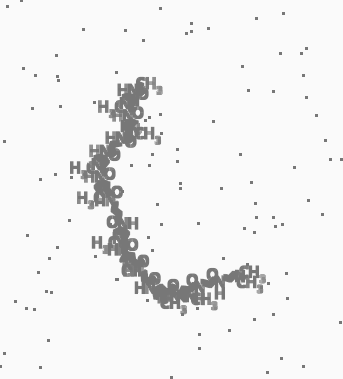 CC(=O)Nc1cn(C)c(C(=O)Nc2cn(C)c(C(=O)NCCC(=O)Nc3cc(C(=O)Nc4cc(C(=O)NCCCC(=O)Nc5cc(C(=O)Nc6cc(C(=O)NCCC(=O)Nc7cc(C(=O)Nc8cc(C(=O)NCCC(=O)NCCCN(C)C)n(C)c8)n(C)c7)n(C)c6)n(C)c5)n(C)c4)n(C)c3)n2)n1